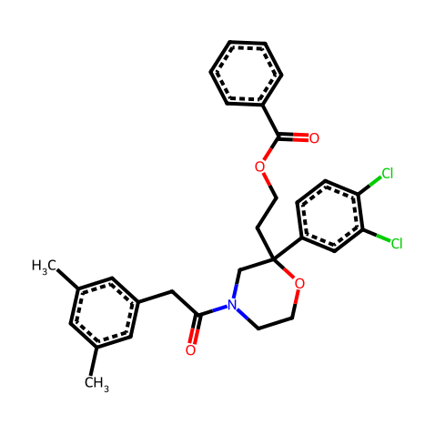 Cc1cc(C)cc(CC(=O)N2CCOC(CCOC(=O)c3ccccc3)(c3ccc(Cl)c(Cl)c3)C2)c1